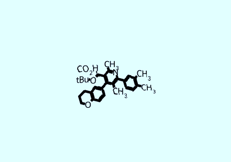 Cc1ccc(-c2nc(C)c([C@H](OC(C)(C)C)C(=O)O)c(-c3ccc4c(c3)CCCO4)c2C)cc1C